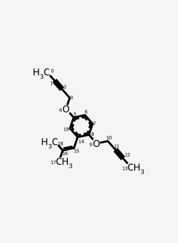 CC#CCOc1ccc(OCC#CC)c(C=C(C)C)c1